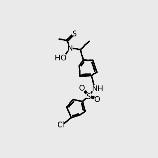 CC(=S)N(O)C(C)c1ccc(NS(=O)(=O)c2ccc(Cl)cc2)cc1